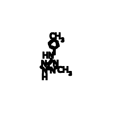 Cc1ccc(CNc2nc(C)nc3[nH]cnc23)cc1